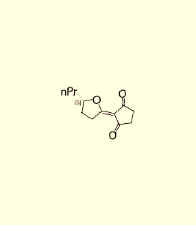 CCC[C@H]1CCC(=C2C(=O)CCC2=O)O1